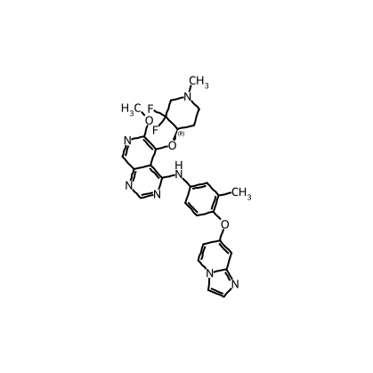 COc1ncc2ncnc(Nc3ccc(Oc4ccn5ccnc5c4)c(C)c3)c2c1O[C@@H]1CCN(C)CC1(F)F